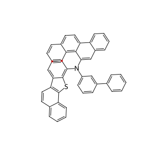 c1ccc(-c2cccc(N(c3cccc4c3sc3c5ccccc5ccc43)c3cc4ccccc4c4ccc5ccccc5c34)c2)cc1